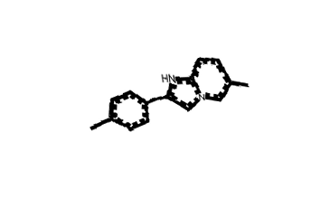 Cc1ccc(-c2c[n+]3cc(C)ccc3[nH]2)cc1